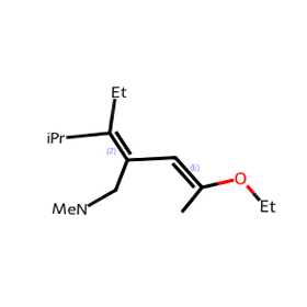 CCO/C(C)=C/C(CNC)=C(\CC)C(C)C